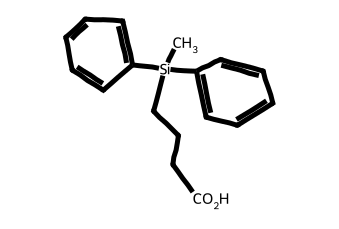 C[Si](CCCC(=O)O)(c1ccccc1)c1ccccc1